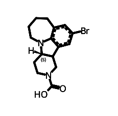 O=C(O)N1CC[C@H]2C(C1)c1cc(Br)cc3c1N2CCCC3